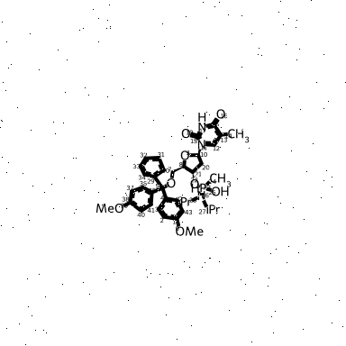 COc1ccc(C(OC[C@H]2O[C@@H](n3cc(C)c(=O)[nH]c3=O)C[C@@H]2O[PH](C)(O)N(C(C)C)C(C)C)(c2ccccc2)c2ccc(OC)cc2)cc1